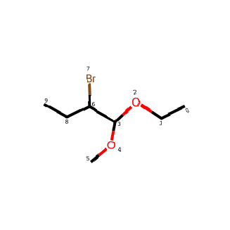 CCOC(OC)C(Br)CC